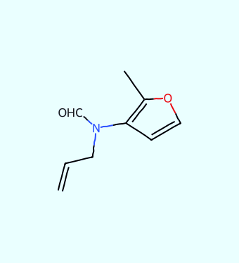 C=CCN(C=O)c1ccoc1C